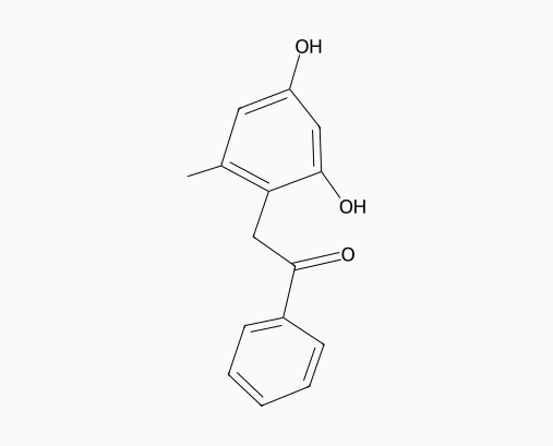 Cc1cc(O)cc(O)c1CC(=O)c1ccccc1